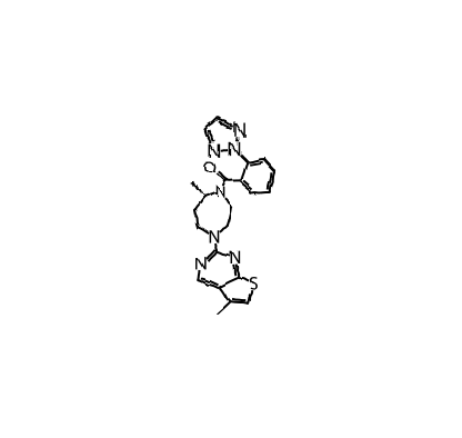 Cc1csc2nc(N3CC[C@@H](C)N(C(=O)c4ccccc4-n4nccn4)CC3)ncc12